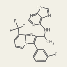 CC(Nc1ncnc2[nH]cnc12)c1nc2c(C(F)(F)F)cccn2c1-c1cccc(F)c1